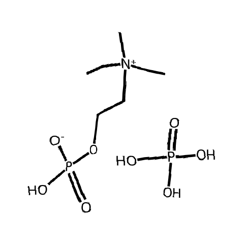 C[N+](C)(C)CCOP(=O)([O-])O.O=P(O)(O)O